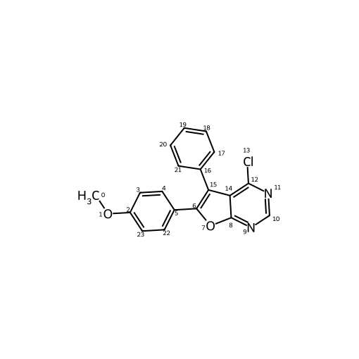 COc1ccc(-c2oc3ncnc(Cl)c3c2-c2ccccc2)cc1